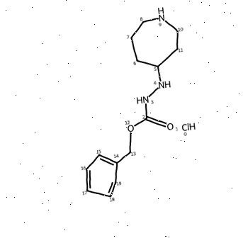 Cl.O=C(NNC1CCCNCC1)OCc1ccccc1